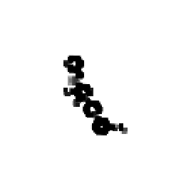 Cc1cccc(N2CCC(n3ncc(NCC4CCCOC4)c(Cl)c3=O)CC2)c1